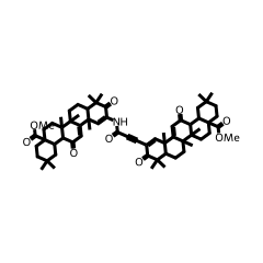 COC(=O)C12CCC(C)(C)CC1C1C(=O)C=C3C4(C)C=C(C#CC(=O)NC5=CC6(C)C7=CC(=O)C8C9CC(C)(C)CCC9(C(=O)OC)CCC8(C)C7(C)CCC6C(C)(C)C5=O)C(=O)C(C)(C)C4CCC3(C)C1(C)CC2